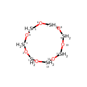 O1[SiH2]O[SiH2]O[SiH2]O[SiH2]O[SiH2]O[SiH2]O[SiH2]1